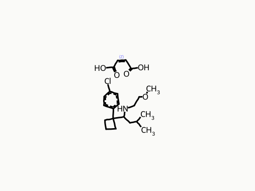 COCCNC(CC(C)C)C1(c2ccc(Cl)cc2)CCC1.O=C(O)/C=C\C(=O)O